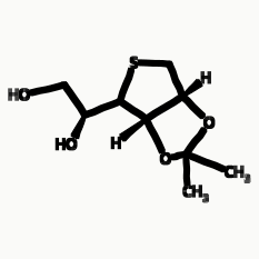 CC1(C)O[C@H]2CSC([C@@H](O)CO)[C@H]2O1